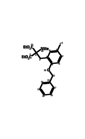 CCOC(=O)C(Cc1cc(I)ccc1OCc1ccccc1)(NC)C(=O)OCC